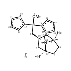 COC(C[C@H]1C[C@H]2CC[C@@H](C1)[N+]2(C)C)(c1cccs1)c1cccs1.[I-]